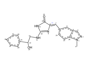 Cn1ncc2cc(/C=C3\N=C(NCC(O)c4ccccc4)NC3=O)ccc21